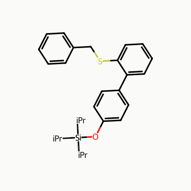 CC(C)[Si](Oc1ccc(-c2ccccc2SCc2ccccc2)cc1)(C(C)C)C(C)C